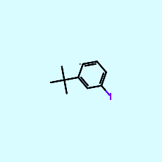 CC(C)(C)c1[c]ccc(I)c1